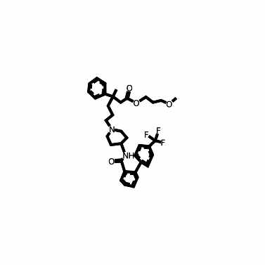 COCCCOC(=O)CC(C)(CCCN1CCC(NC(=O)c2ccccc2-c2ccc(C(F)(F)F)cc2)CC1)c1ccccc1